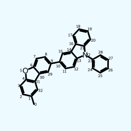 Cc1ccc2oc3ccc(-c4ccc5c(c4)c4ccccc4n5-c4ccccc4)cc3c2c1